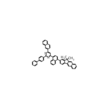 CC1(C)c2cc(-c3ccc(-c4cc(-c5ccc6ccccc6c5)nc(-c5ccc(-c6ccccc6)cc5)n4)c4ccccc34)ccc2-c2cc3ccccc3cc21